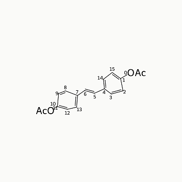 CC(=O)Oc1ccc(/C=C/c2ccc(OC(C)=O)cc2)cc1